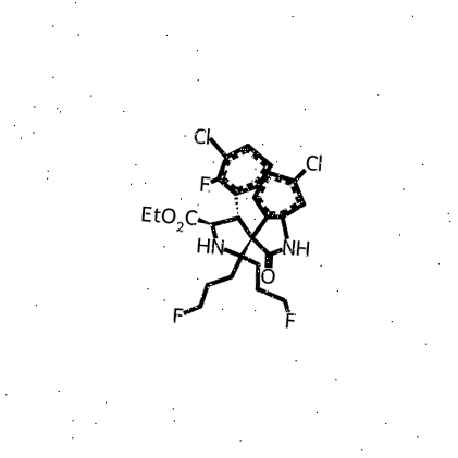 CCOC(=O)[C@@H]1NC(CCCF)(CCCF)[C@@]2(C(=O)Nc3cc(Cl)ccc32)[C@H]1c1cccc(Cl)c1F